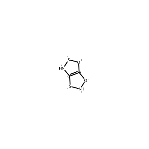 [nH]1oc2os[nH]c=2s1